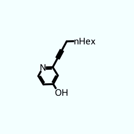 CCCCCCCC#Cc1cc(O)ccn1